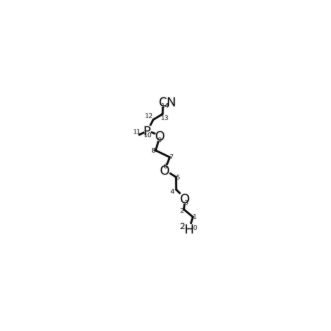 [2H]CCOCCOCCOP(C)CCC#N